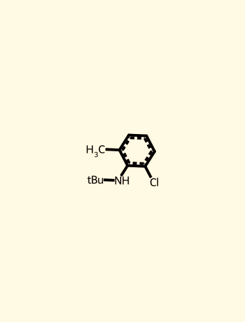 Cc1cccc(Cl)c1NC(C)(C)C